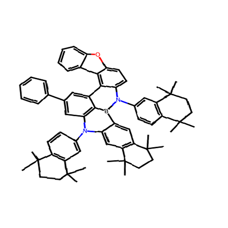 CC1(C)CCC(C)(C)c2cc(N3B4c5cc6c(cc5N(c5ccc7c(c5)C(C)(C)CCC7(C)C)c5cc(-c7ccccc7)cc(c54)-c4c3ccc3oc5ccccc5c43)C(C)(C)CCC6(C)C)ccc21